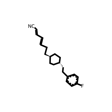 N#CC=CC=CCC[C@H]1CC[C@H](CCc2ccc(F)cc2)CC1